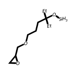 CCC(CC)(CCCOCC1CO1)O[SiH3]